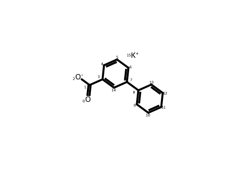 O=C([O-])c1cccc(-c2ccccc2)c1.[K+]